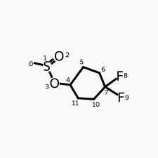 CS(=O)OC1CCC(F)(F)CC1